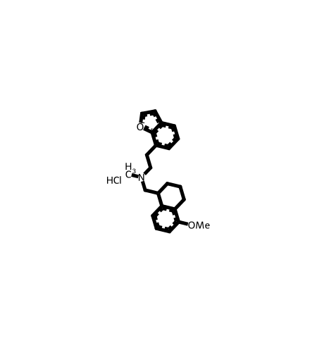 COc1cccc2c1CCCC2CN(C)CCc1cccc2ccoc12.Cl